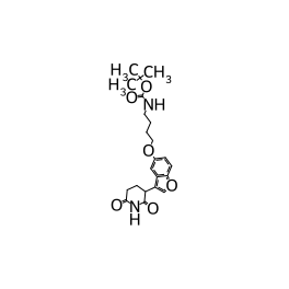 CC(C)(C)OC(=O)NCCCCOc1ccc2occ(C3CCC(=O)NC3=O)c2c1